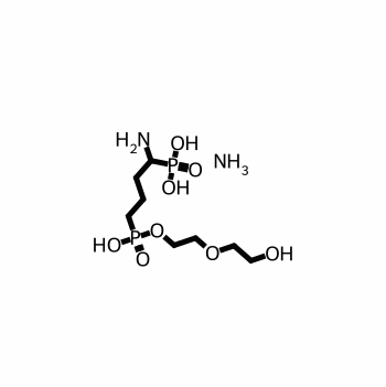 N.NC(CCCP(=O)(O)OCCOCCO)P(=O)(O)O